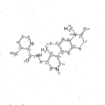 Cc1cccnc1C(=O)NCc1cncc(-c2cc3c(cc2F)N(C)C(=O)CC3)c1C